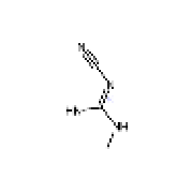 CN/C([NH])=N/C#N